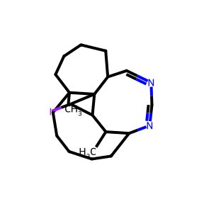 CC1C2CCCCCC3(C)CCCCC(/C=N\C=N/2)C32C(I)C12